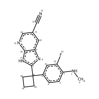 CNc1ccc(C2(c3nc4cc(C#N)cnc4[nH]3)CCC2)cc1F